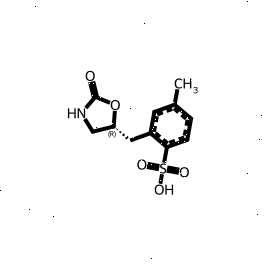 Cc1ccc(S(=O)(=O)O)c(C[C@@H]2CNC(=O)O2)c1